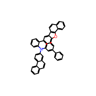 c1ccc(-c2cccc(N(c3ccc4c(ccc5ccccc54)c3)c3ccccc3-c3ccc4oc5c6ccccc6ccc5c4c3)c2)cc1